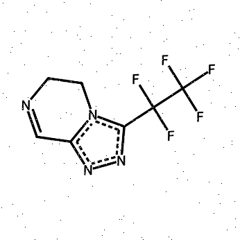 FC(F)(F)C(F)(F)c1nnc2n1CCN=C2